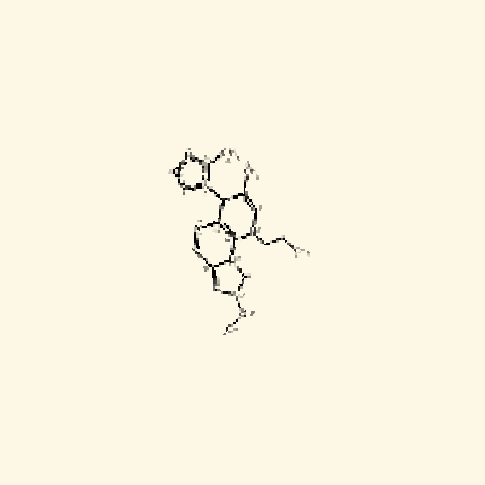 CCCN1C=C(C)C(n2ccnc2C)C2=C1N1CN(OC)C=C1C=N2